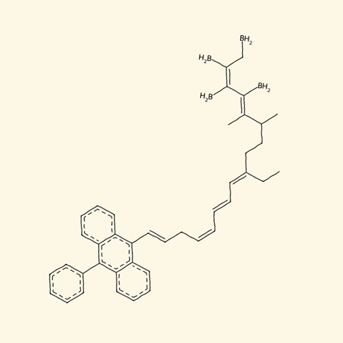 BC/C(B)=C(B)\C(B)=C(/C)C(C)CC/C(=C/C=C/C=C\C/C=C/c1c2ccccc2c(-c2ccccc2)c2ccccc12)CC